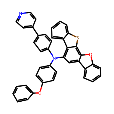 c1ccc(Oc2ccc(N(c3ccc(-c4ccncc4)cc3)c3cc4c5ccccc5oc4c4sc5ccccc5c34)cc2)cc1